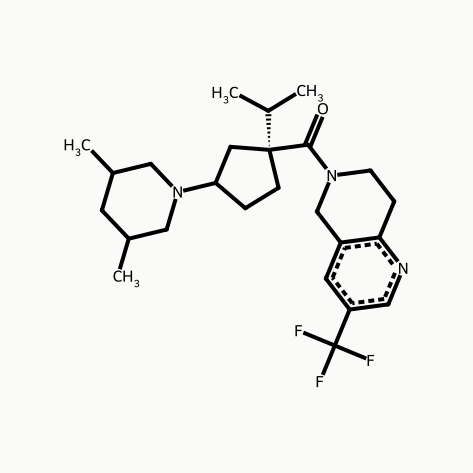 CC1CC(C)CN(C2CC[C@@](C(=O)N3CCc4ncc(C(F)(F)F)cc4C3)(C(C)C)C2)C1